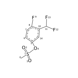 CS(=O)(=O)Oc1ccc(F)c(C(F)F)c1